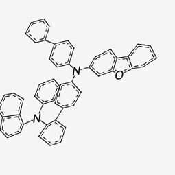 c1ccc(-c2ccc(N(c3ccc(-c4ccccc4N(c4ccccc4)c4cccc5ccccc45)cc3)c3ccc4c(c3)oc3ccccc34)cc2)cc1